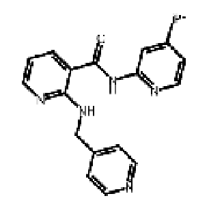 CC(C)c1ccnc(NC(=O)c2cccnc2NCc2ccncc2)c1